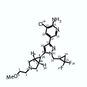 COCCN1C[C@@H]2[C@H](C1)[C@H]2c1cc(-c2cnc(N)c(Cl)c2)nn1CC1CC1(F)F